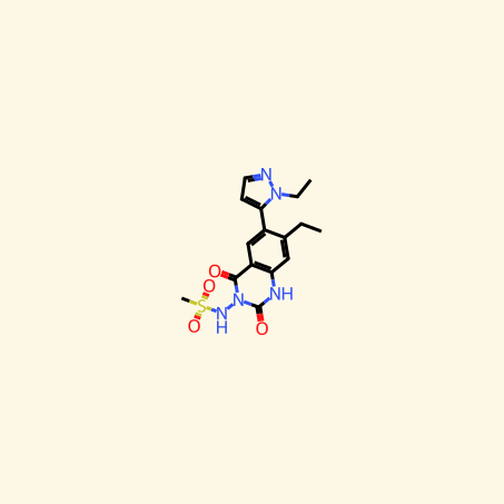 CCc1cc2[nH]c(=O)n(NS(C)(=O)=O)c(=O)c2cc1-c1ccnn1CC